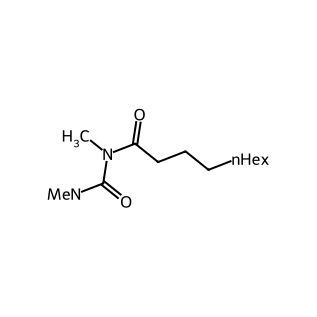 CCCCCCCCCC(=O)N(C)C(=O)NC